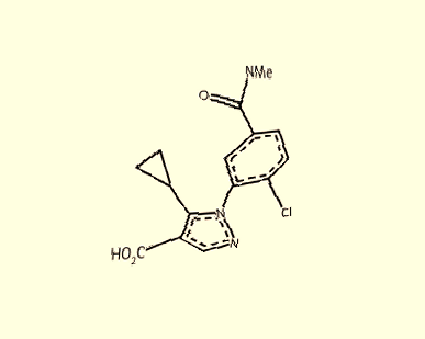 CNC(=O)c1ccc(Cl)c(-n2ncc(C(=O)O)c2C2CC2)c1